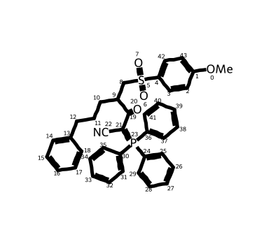 COc1ccc(S(=O)(=O)CC(CCCc2ccccc2)C(=O)C(C#N)=P(c2ccccc2)(c2ccccc2)c2ccccc2)cc1